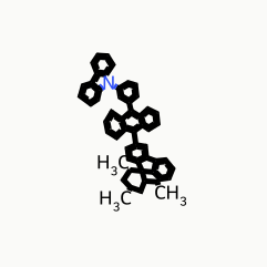 CCC1CC(C)CC(C)C12c1ccccc1-c1cc(-c3c4ccccc4c(-c4cccc(-n5c6ccccc6c6ccccc65)c4)c4ccccc34)ccc12